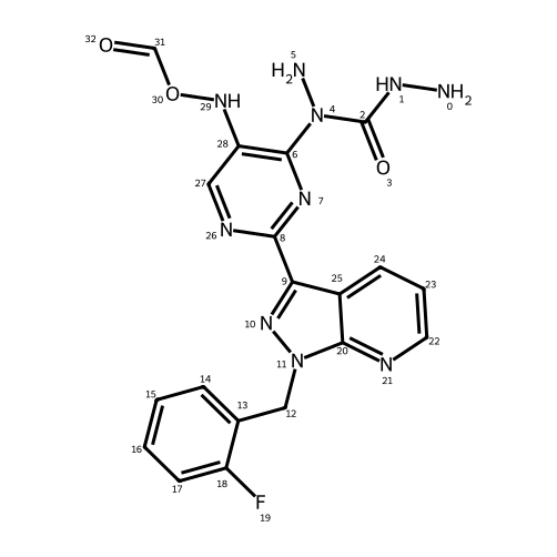 NNC(=O)N(N)c1nc(-c2nn(Cc3ccccc3F)c3ncccc23)ncc1NOC=O